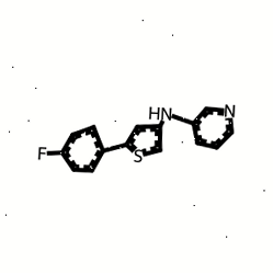 Fc1ccc(-c2cc(Nc3cccnc3)cs2)cc1